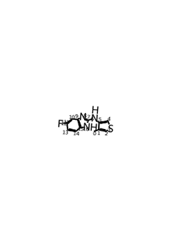 Cc1cscc1Nc1nc2cc(F)ccc2[nH]1